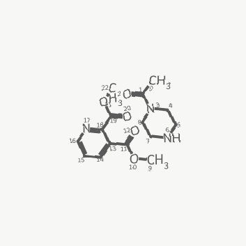 CC(=O)N1CCNCC1.COC(=O)c1cccnc1C(=O)OC